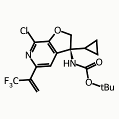 C=C(c1cc2c(c(Cl)n1)OC[C@]2(NC(=O)OC(C)(C)C)C1CC1)C(F)(F)F